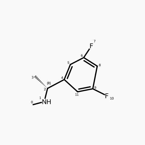 CN[C@H](C)c1cc(F)cc(F)c1